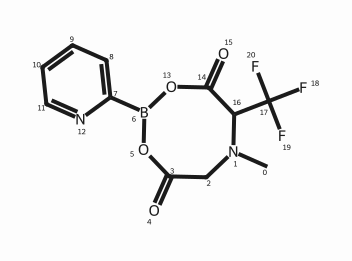 CN1CC(=O)OB(c2ccccn2)OC(=O)C1C(F)(F)F